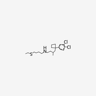 CCSCCCCNCCC(C)CC1(c2ccc(Cl)c(Cl)c2)CCC1